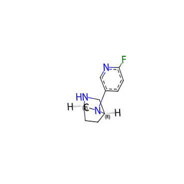 Fc1ccc(N2C[C@H]3CC[C@@H]2CN3)cn1